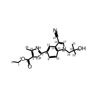 CCOC(=O)c1sc(-c2ccc3c(c2)c(C#N)cn3CC(C)(C)O)nc1C